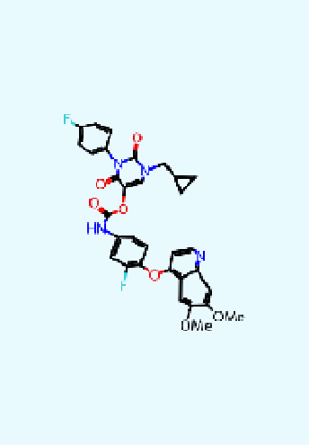 COc1cc2nccc(Oc3ccc(NC(=O)Oc4cn(CC5CC5)c(=O)n(-c5ccc(F)cc5)c4=O)cc3F)c2cc1OC